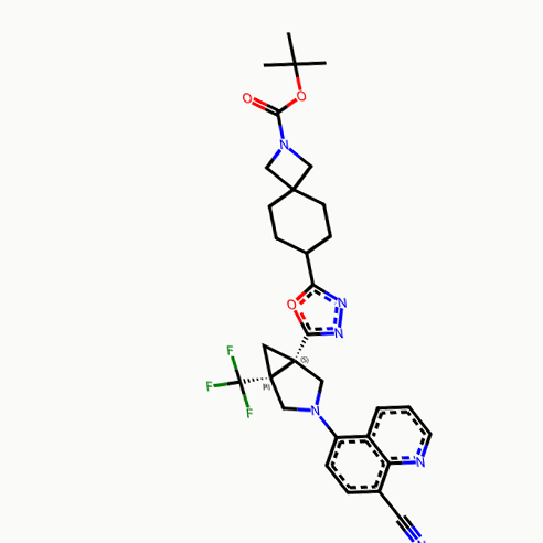 CC(C)(C)OC(=O)N1CC2(CCC(c3nnc([C@]45CN(c6ccc(C#N)c7ncccc67)C[C@@]4(C(F)(F)F)C5)o3)CC2)C1